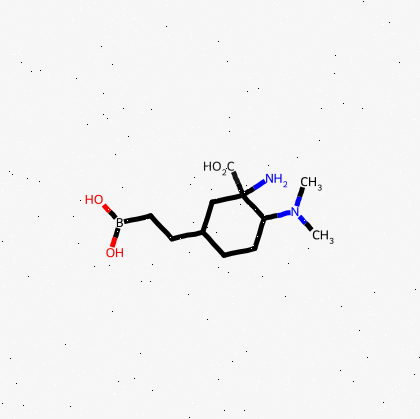 CN(C)C1CCC(CCB(O)O)CC1(N)C(=O)O